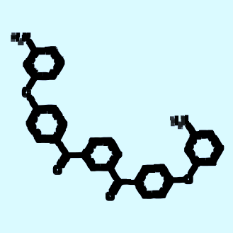 Nc1cccc(Oc2ccc(C(=O)c3cccc(C(=O)c4ccc(Oc5cccc(N)c5)cc4)c3)cc2)c1